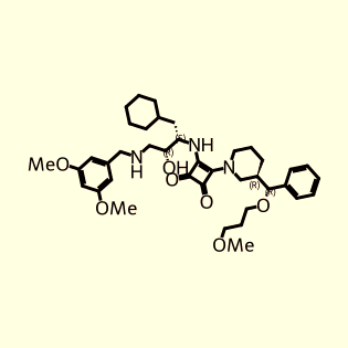 COCCCO[C@@H](c1ccccc1)[C@@H]1CCCN(c2c(N[C@@H](CC3CCCCC3)[C@H](O)CNCc3cc(OC)cc(OC)c3)c(=O)c2=O)C1